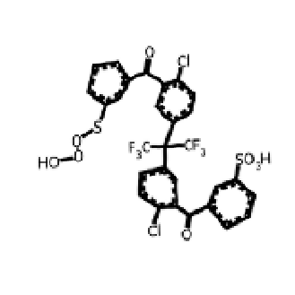 O=C(c1cccc(SOOO)c1)c1cc(C(c2ccc(Cl)c(C(=O)c3cccc(S(=O)(=O)O)c3)c2)(C(F)(F)F)C(F)(F)F)ccc1Cl